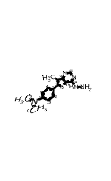 Cc1c(-c2ccc(N(C)C)cc2)sc2c(NN)ncnc12